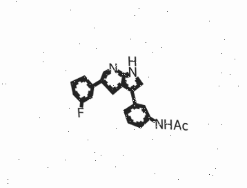 CC(=O)Nc1cccc(-c2c[nH]c3ncc(-c4cccc(F)c4)cc23)c1